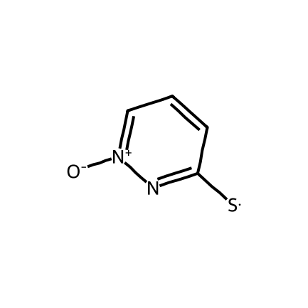 [O-][n+]1cccc([S])n1